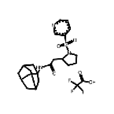 O=C(CC1CCCN1S(=O)(=O)c1cccnc1)NC12CC3CC(CC(C3)C1)C2.O=C(O)C(F)(F)F